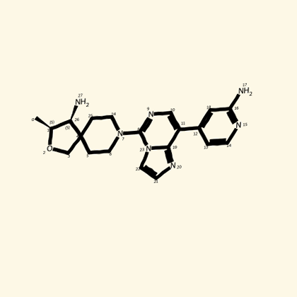 C[C@@H]1OCC2(CCN(c3ncc(-c4ccnc(N)c4)c4nccn34)CC2)[C@@H]1N